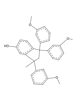 COc1cccc(C2(C)CC(c3cccc(OC)c3)(c3cccc(OC)c3)c3ccc(O)cc32)c1